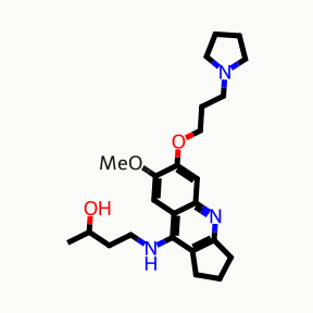 COc1cc2c(NCCC(C)O)c3c(nc2cc1OCCCN1CCCC1)CCC3